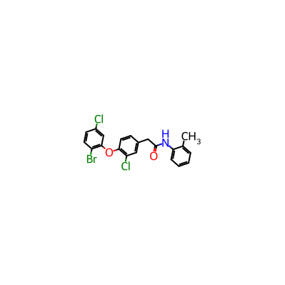 Cc1ccccc1NC(=O)Cc1ccc(Oc2cc(Cl)ccc2Br)c(Cl)c1